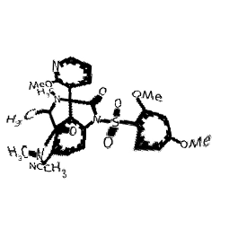 COc1ccc(S(=O)(=O)N2C(=O)C(c3cccnc3OC)(N(C)C(C)C(=O)N(C)C)c3cc(C#N)ccc32)c(OC)c1